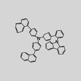 C1=CC(N(c2ccc(-c3cccc4ccccc34)cc2)c2ccc(-c3cccc4ccccc34)cc2)CC=C1c1ccccc1-n1c2ccccc2c2ccccc21